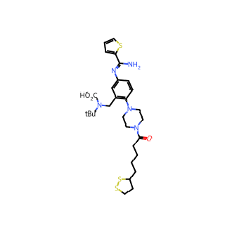 CC(C)(C)N(Cc1cc(N=C(N)c2cccs2)ccc1N1CCN(C(=O)CCCCC2CCSS2)CC1)C(=O)O